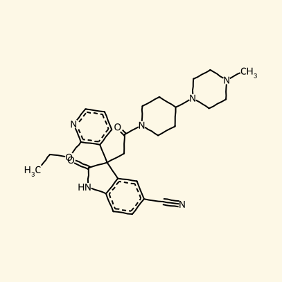 CCOc1ncccc1C1(CC(=O)N2CCC(N3CCN(C)CC3)CC2)C(=O)Nc2ccc(C#N)cc21